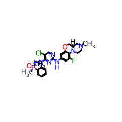 CN1CCN2c3c(F)cc(Nc4ncc(Cl)c(Nc5ccccc5P(C)(C)=O)n4)cc3OC[C@H]2C1